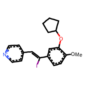 COc1ccc(C(I)=Cc2ccncc2)cc1OC1CCCC1